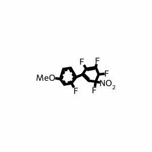 COc1ccc(C2=CC(F)([N+](=O)[O-])C(F)C(F)=C2F)c(F)c1